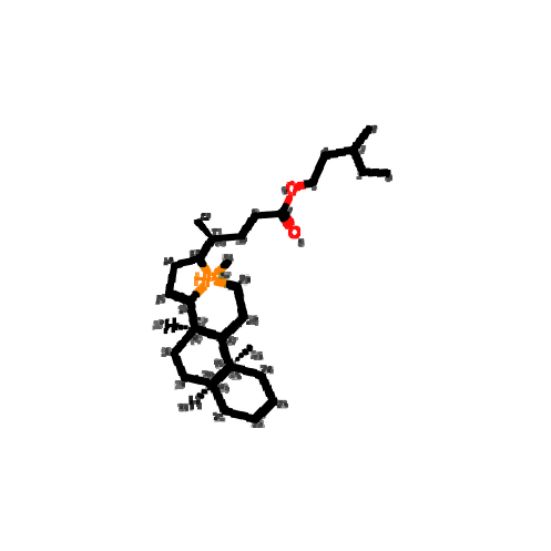 CCC(C)CCOC(=O)CC[C@H](C)C1CCC2[C@@H]3CC[C@@H]4CCCC[C@]4(C)C3CC[PH]21C